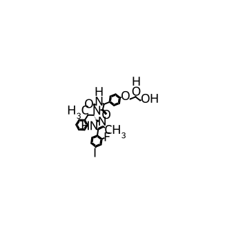 Cc1nc([C@H]([C@@H](C)c2ccccc2)N2C(=O)NC(c3ccc(OCC(O)CO)cc3)C2=O)[nH]c1-c1ccc(I)cc1F